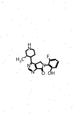 C[C@H]1CNCCC1c1ncnc2c1CN(c1c(O)cccc1F)C2=O